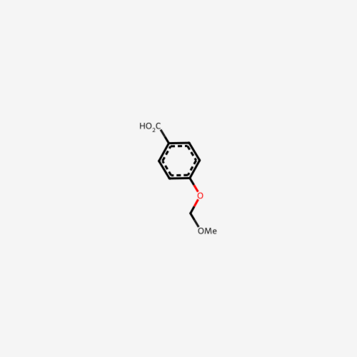 COCOc1ccc(C(=O)O)cc1